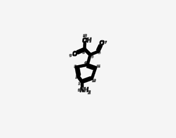 Nc1ccc(C([C]=O)C(=O)O)cc1